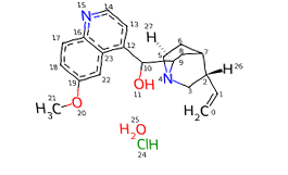 C=C[C@@H]1CN2CCC1C[C@@H]2C(O)c1ccnc2ccc(OC)cc12.Cl.O